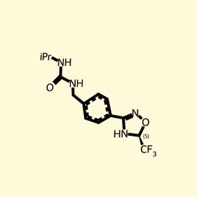 CC(C)NC(=O)NCc1ccc(C2=NO[C@@H](C(F)(F)F)N2)cc1